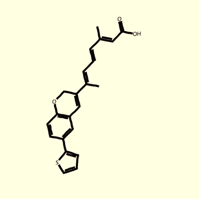 CC(C=CC=C(C)C1=Cc2cc(-c3cccs3)ccc2OC1)=CC(=O)O